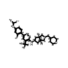 Fc1cc(OC(F)F)ccc1-c1cc(C(F)(F)F)c(N[C@H]2C[C@@H]3CN(CC4CCOCC4)C[C@@H]3C2)nn1